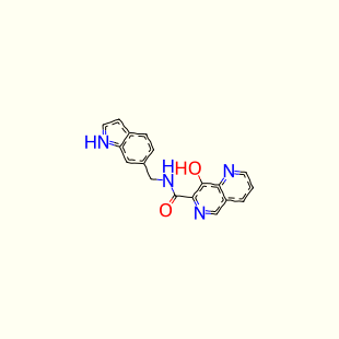 O=C(NCc1ccc2cc[nH]c2c1)c1ncc2cccnc2c1O